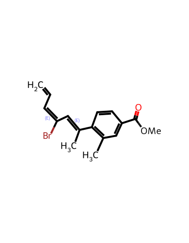 C=C/C=C(Br)\C=C(/C)c1ccc(C(=O)OC)cc1C